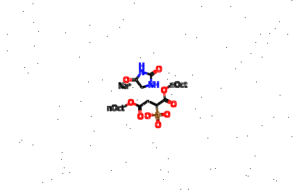 CCCCCCCCOC(=O)CC(C(=O)OCCCCCCCC)S(=O)(=O)[O-].O=C1CNC(=O)N1.[Na+]